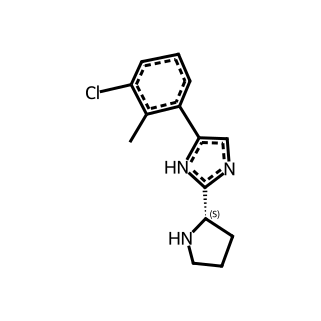 Cc1c(Cl)cccc1-c1cnc([C@@H]2CCCN2)[nH]1